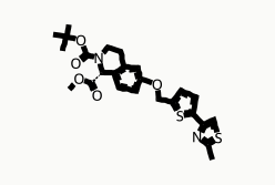 COC(=O)[C@H]1c2ccc(OCc3ccc(-c4csc(C)n4)s3)cc2CCN1C(=O)OC(C)(C)C